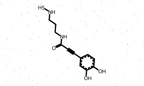 O=C(C#Cc1ccc(O)c(O)c1)NCCCNS